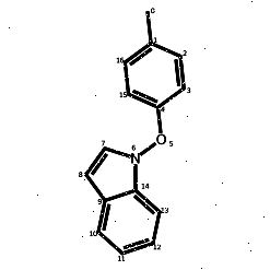 Cc1ccc(On2ccc3ccccc32)cc1